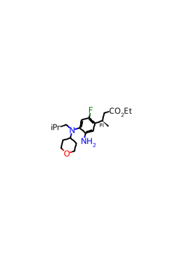 CCOC(=O)C[C@@H](C)c1cc(N)c(N(CC(C)C)C2CCOCC2)cc1F